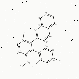 COc1nnc(C)c(-c2ccc3ccccc3c2)c1-c1c(F)cc(F)cc1F